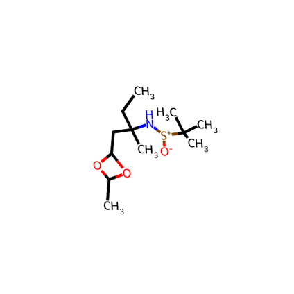 CCC(C)(CC1OC(C)O1)N[S+]([O-])C(C)(C)C